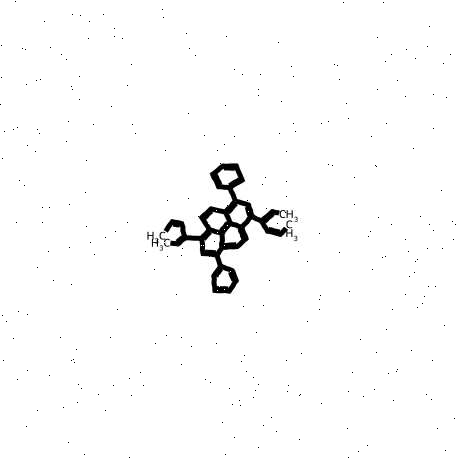 C/C=C\C(=C/C)c1cc(-c2ccccc2)c2ccc3c(C(/C=C\C)=C/C)cc(-c4ccccc4)c4ccc1c2c34